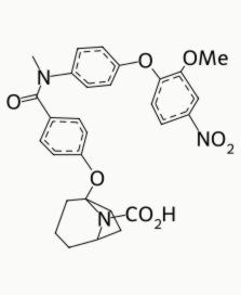 COc1cc([N+](=O)[O-])ccc1Oc1ccc(N(C)C(=O)c2ccc(OC34CCCC(CC3)N4C(=O)O)cc2)cc1